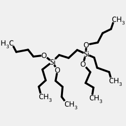 CCCCO[Si](CCCC)(CCC[Si](CCCC)(OCCCC)OCCCC)OCCCC